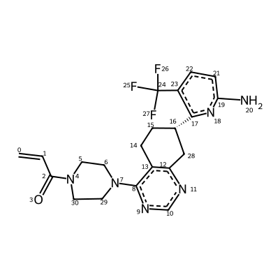 C=CC(=O)N1CCN(c2ncnc3c2CC[C@H](c2nc(N)ccc2C(F)(F)F)C3)CC1